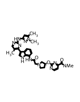 CNC(=O)c1ccnc(O[C@H]2CCN(CC(=O)Nc3cccc4c(-c5nc(Nc6cc(C)n(C)n6)ncc5C)c[nH]c34)C2)n1